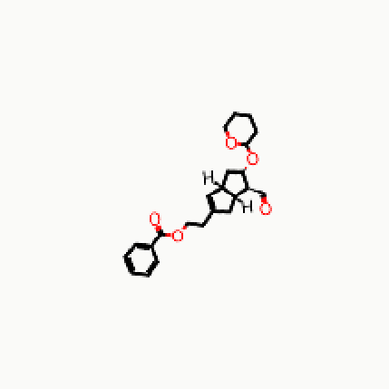 O=C[C@H]1[C@@H]2CC(CCOC(=O)c3ccccc3)=C[C@@H]2C[C@@H]1OC1CCCCO1